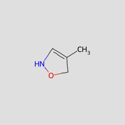 CC1=CNOC1